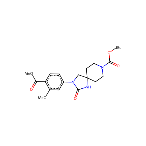 COC(=O)c1ccc(N2CC3(CCN(C(=O)OC(C)(C)C)CC3)NC2=O)cc1OC